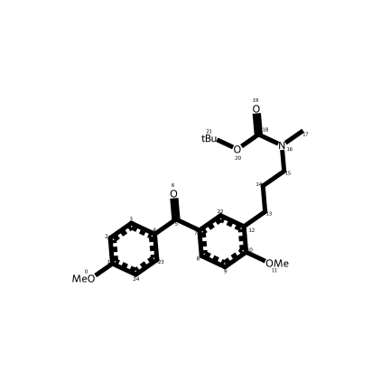 COc1ccc(C(=O)c2ccc(OC)c(CCCN(C)C(=O)OC(C)(C)C)c2)cc1